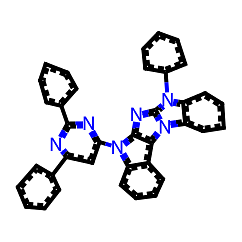 c1ccc(-c2cc(-n3c4ccccc4c4c3nc3n(-c5ccccc5)c5ccccc5n43)nc(-c3ccccc3)n2)cc1